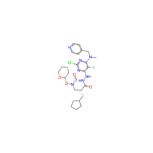 CN(Cc1ccncc1)c1nc(Cl)nc(NNC(=O)[C@H](CC2CCCC2)CN(C=O)OC2CCCCO2)c1F